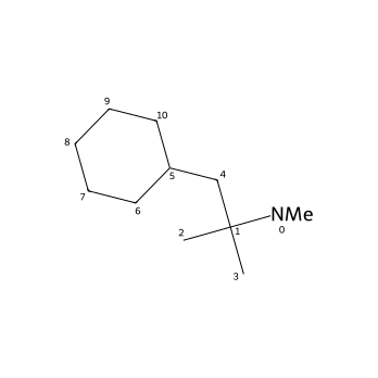 CNC(C)(C)CC1CCCCC1